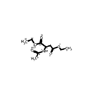 CCOC(=O)CC(NC(C)=O)C(=O)OCC